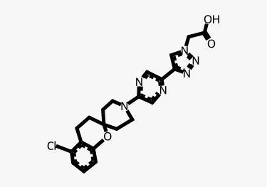 O=C(O)Cn1cc(-c2cnc(N3CCC4(CCc5c(Cl)cccc5O4)CC3)cn2)nn1